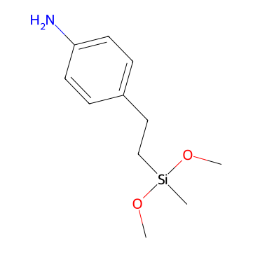 CO[Si](C)(CCc1ccc(N)cc1)OC